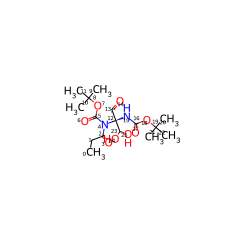 CCC(=O)N(C(=O)OC(C)(C)C)[C@@]([C]=O)(NC(=O)OC(C)(C)C)C(O)O